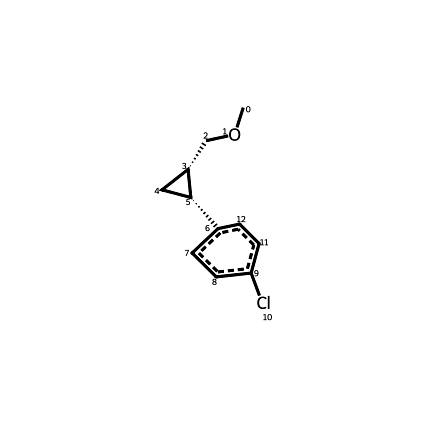 COC[C@H]1C[C@H]1c1ccc(Cl)cc1